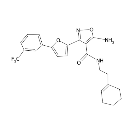 Nc1onc(-c2ccc(-c3cccc(C(F)(F)F)c3)o2)c1C(=O)NCCC1=CCCCC1